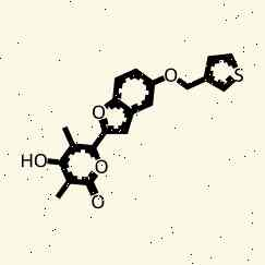 Cc1c(-c2cc3cc(OCc4ccsc4)ccc3o2)oc(=O)c(C)c1O